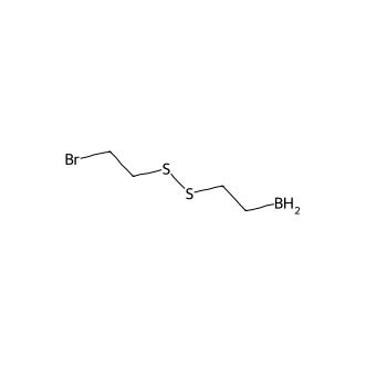 BCCSSCCBr